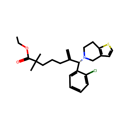 C=C(CCCC(C)(C)C(=O)OCC)[C@@H](c1ccccc1Cl)N1CCc2sccc2C1